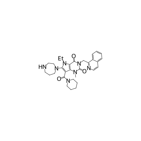 CCn1c(N2CCCNCC2)c(C(=O)N2CCCCC2)c2c1c(=O)n(Cc1nccc3ccccc13)c(=O)n2C